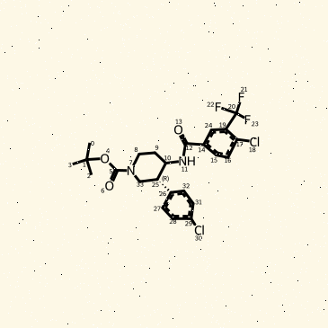 CC(C)(C)OC(=O)N1CCC(NC(=O)c2ccc(Cl)c(C(F)(F)F)c2)[C@H](c2ccc(Cl)cc2)C1